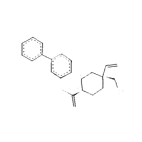 C=C[C@]1(CO)CC[C@@H](C(=C)C)[C@H](c2ccc(-c3ccccc3)cc2)C1